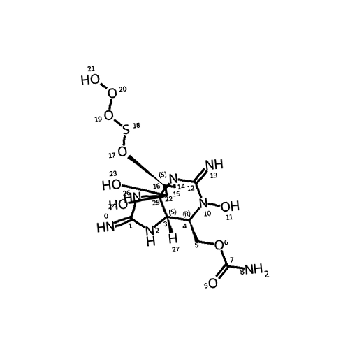 N=C1N[C@H]2[C@H](COC(N)=O)N(O)C(=N)N3C[C@H](OSOOO)C(O)(O)C23N1